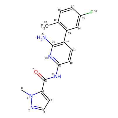 Cn1nccc1C(=O)Nc1ccc(-c2cc(F)ccc2C(F)(F)F)c(N)n1